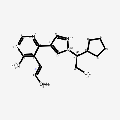 CO/C=C/c1c(N)ncnc1-c1cnn([C@H](CC#N)C2CCCC2)c1